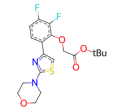 CC(C)(C)OC(=O)COc1c(-c2csc(N3CCOCC3)n2)ccc(F)c1F